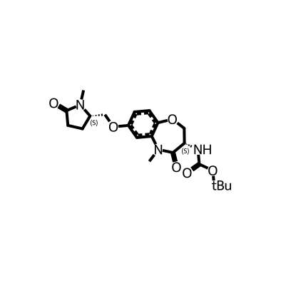 CN1C(=O)[C@@H](NC(=O)OC(C)(C)C)COc2ccc(OC[C@@H]3CCC(=O)N3C)cc21